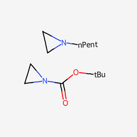 CC(C)(C)OC(=O)N1CC1.CCCCCN1CC1